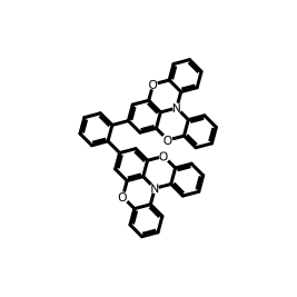 c1ccc2c(c1)Oc1cc(-c3ccccc3-c3cc4c5c(c3)Oc3ccccc3N5c3ccccc3O4)cc3c1N2c1ccccc1O3